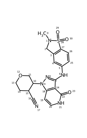 CN1Cc2cc(Nc3nn(C4COCCC4C#N)c4cc[nH]c(=O)c34)ccc2S1(=O)=O